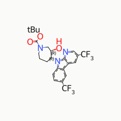 CC(C)(C)OC(=O)N1CCC[C@@H](n2c3ccc(C(F)(F)F)cc3c3cc(C(F)(F)F)cnc32)[C@H](O)C1